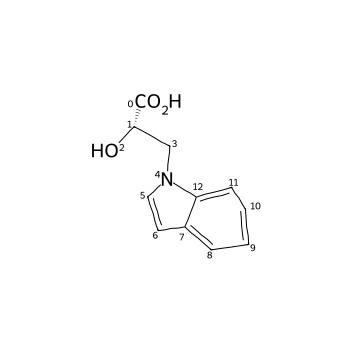 O=C(O)[C@@H](O)Cn1ccc2ccccc21